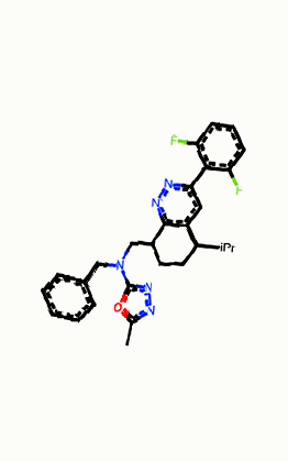 Cc1nnc(N(Cc2ccccc2)CC2CCC(C(C)C)c3cc(-c4c(F)cccc4F)nnc32)o1